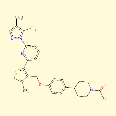 CCC(=O)N1CCC(c2ccc(OCc3c(C(F)(F)F)csc3-c3cccc(-n4ncc(C(=O)O)c4C(F)(F)F)n3)cc2)CC1